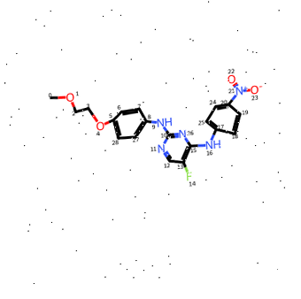 COCCOc1ccc(Nc2ncc(F)c(Nc3ccc([N+](=O)[O-])cc3)n2)cc1